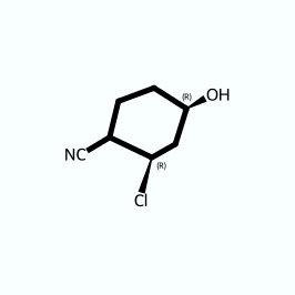 N#CC1CC[C@@H](O)C[C@H]1Cl